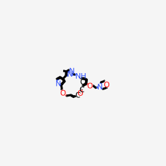 Cc1cnc2nc1-c1ccnc(c1)COC/C=C/COCc1cc(ccc1OCCN1CCOCC1)N2